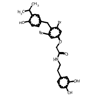 CC(C)c1cc(Cc2c(Br)cc(OCC(=O)NCCc3ccc(O)c(O)c3)cc2Br)ccc1O